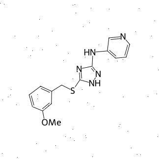 COc1cccc(CSc2nc(Nc3cccnc3)n[nH]2)c1